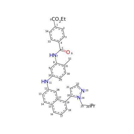 CCOC(=O)c1ccc(C(=O)Nc2cc(Nc3ccc4cccc(-c5ccnn5CC(C)C)c4c3)ccc2C)cc1